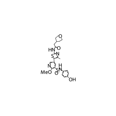 COc1ncc(-c2sc(NC(=O)CC3CCOCC3)nc2C)cc1[S+]([O-])Nc1ccc(O)cc1